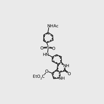 CCOC(=O)Oc1c[nH]c2c(=O)[nH]c3ccc(NS(=O)(=O)c4ccc(NC(C)=O)cc4)cc3c12